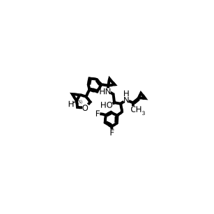 CC(NC(Cc1cc(F)cc(F)c1)C(O)CNC1(c2cccc(C3COC[C@H]4CC34)c2)CC1)=C1CC1